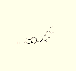 CC(C)C[C@H](CO)NC1=N/C(=C\c2ccc3nn(C)cc3c2)C(=O)N1C